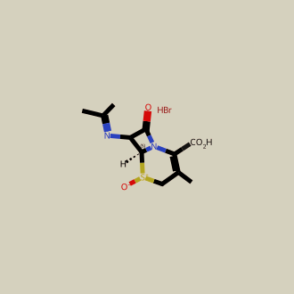 Br.CC(C)=NC1C(=O)N2C(C(=O)O)=C(C)C[S+]([O-])[C@@H]12